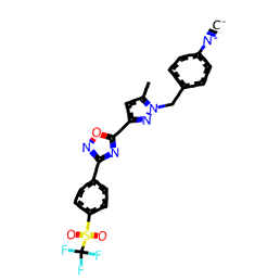 [C-]#[N+]c1ccc(Cn2nc(-c3nc(-c4ccc(S(=O)(=O)C(F)(F)F)cc4)no3)cc2C)cc1